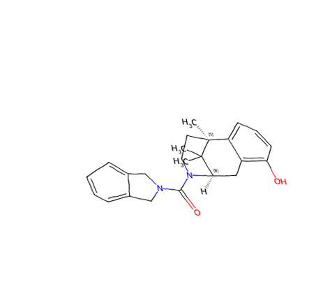 CC1(C)[C@H]2Cc3c(O)cccc3[C@]1(C)CCN2C(=O)N1Cc2ccccc2C1